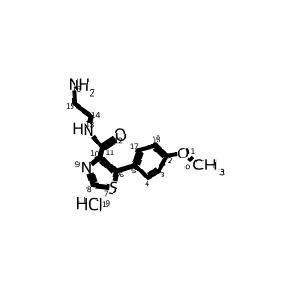 COc1ccc(-c2scnc2C(=O)NCCN)cc1.Cl